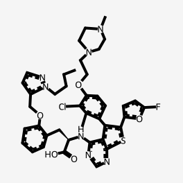 CCCCn1nccc1COc1ccccc1C[C@@H](Nc1ncnc2sc(-c3ccc(F)o3)c(-c3ccc(OCCN4CCN(C)CC4)c(Cl)c3C)c12)C(=O)O